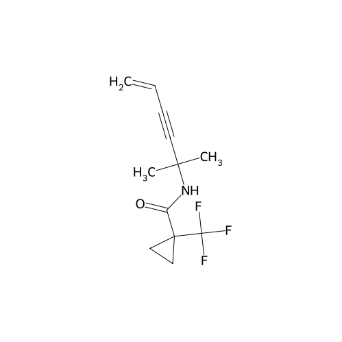 C=CC#CC(C)(C)NC(=O)C1(C(F)(F)F)CC1